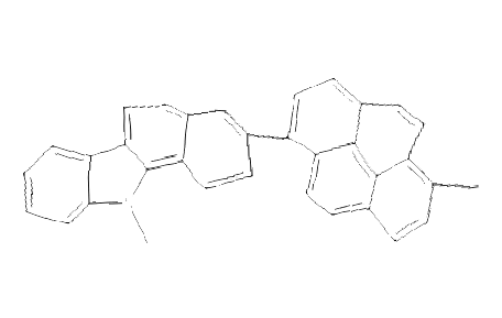 Cc1ccc2ccc3c(-c4ccc5c(ccc6c7ccccc7n(C)c56)c4)ccc4ccc1c2c43